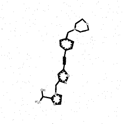 CC(O)c1nccn1Cc1cc(C#Cc2ccc(CN3CCOCC3)cc2)on1